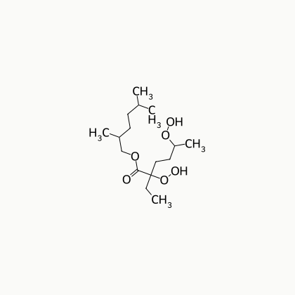 CCC(CCC(C)OO)(OO)C(=O)OCC(C)CCC(C)C